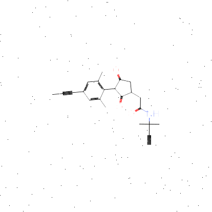 C#CC(C)(C)NC(=O)CC1CC(=O)C(c2c(C)cc(C#CC)cc2C)C1=O